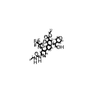 CCNC(=O)Nc1cc(-c2nc(C(F)(F)F)cs2)c(-c2ccc3c(c2)c(=O)c(C(=O)OCC)cn3C(CO)C2CCOCC2)cn1